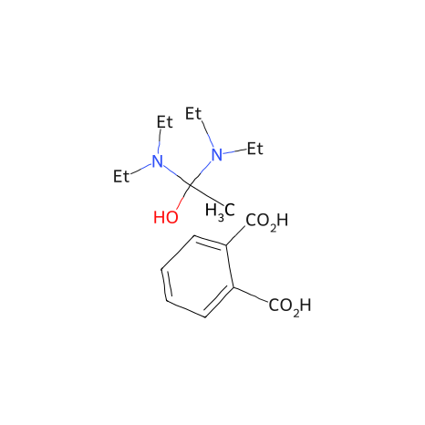 CCN(CC)C(C)(O)N(CC)CC.O=C(O)c1ccccc1C(=O)O